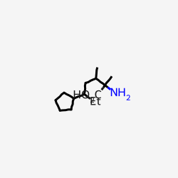 CCC(CC(C)C(C)(N)C(=O)O)C1CCCC1